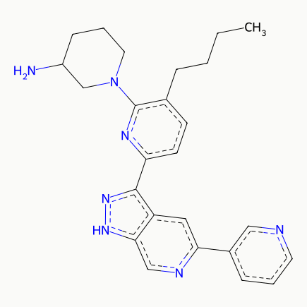 CCCCc1ccc(-c2n[nH]c3cnc(-c4cccnc4)cc23)nc1N1CCCC(N)C1